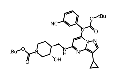 CC(C)(C)OC(=O)N1CC[C@@H](CNc2cc(N(C(=O)OC(C)(C)C)c3cccc(C#N)c3)n3ncc(C4CC4)c3n2)[C@H](O)C1